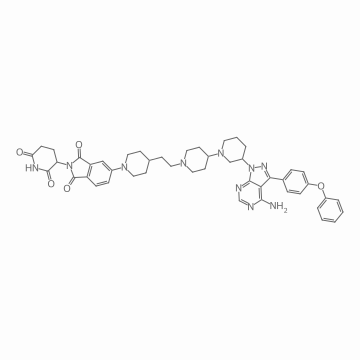 Nc1ncnc2c1c(-c1ccc(Oc3ccccc3)cc1)nn2C1CCCN(C2CCN(CCC3CCN(c4ccc5c(c4)C(=O)N(C4CCC(=O)NC4=O)C5=O)CC3)CC2)C1